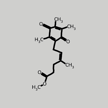 COC(=O)CCC(C)=CCC1=C(C)C(=O)C(C)=C(C)C1=O